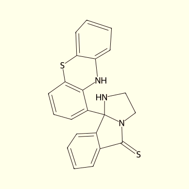 S=C1c2ccccc2C2(c3cccc4c3Nc3ccccc3S4)NCCN12